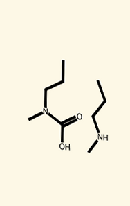 CCCN(C)C(=O)O.CCCNC